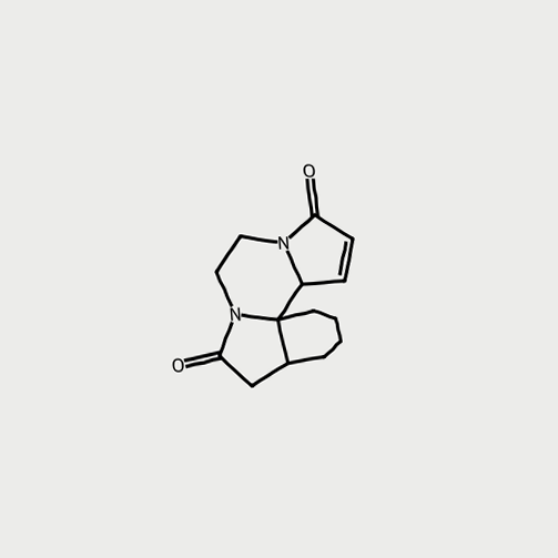 O=C1C=CC2N1CCN1C(=O)CC3CCCCC321